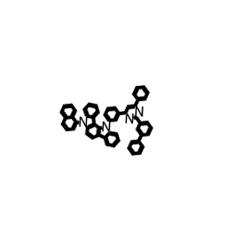 c1ccc(-c2cccc(-c3nc(-c4ccccc4)cc(-c4cccc(-n5c6ccccc6c6ccc7c(c8ccccc8n7-c7cccc8ccccc78)c65)c4)n3)c2)cc1